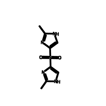 Cc1nc(S(=O)(=O)c2c[nH]c(C)n2)c[nH]1